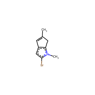 CC1=Cc2cc(Br)n(C)c2C1